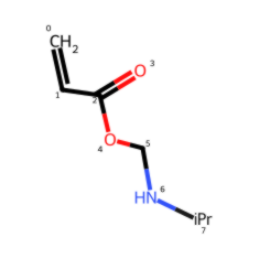 C=CC(=O)OCNC(C)C